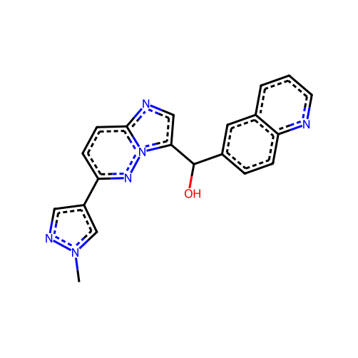 Cn1cc(-c2ccc3ncc(C(O)c4ccc5ncccc5c4)n3n2)cn1